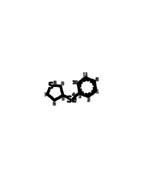 c1ccc([Se]C2CCSC2)cc1